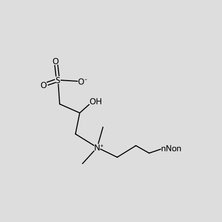 CCCCCCCCCCCC[N+](C)(C)CC(O)CS(=O)(=O)[O-]